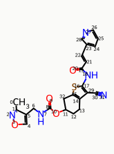 Cc1nocc1CNC(=O)OC1CCc2c(sc(NC(=O)/C=C/c3cccnc3)c2C#N)C1